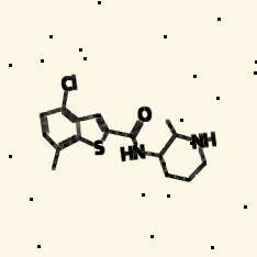 Cc1ccc(Cl)c2cc(C(=O)NC3CCCNC3C)sc12